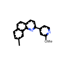 COc1cc(-c2ccc3ccc4ccc(C)cc4c3n2)ccn1